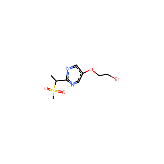 CC(c1ncc(OCCBr)cn1)S(C)(=O)=O